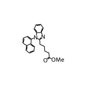 COC(=O)CCCCc1nc2ccccc2n1-c1cccc2ccccc12